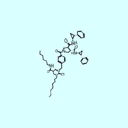 CCCCCCCCN1CC(C(=O)NCCCCCC)CN(Cc2ccc(C(=O)N3CC(C(=O)N[C@H]4C[C@@H]4c4ccccc4)[C@H](C(=O)N[C@H]4C[C@@H]4c4ccccc4)C3)cc2)C1=O